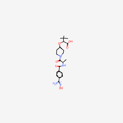 CC(NC(=O)c1ccc(/C(N)=N/O)cc1)C(=O)N1CCC(OC(C(=O)O)C(C)(C)C)CC1